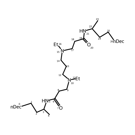 CCCCCCCCCCCCC(C)NC(=O)CCN(CC)CCCN(CC)CCC(=O)NC(C)CCCCCCCCCCCC